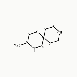 CSC1COC2(CCNCC2)CN1